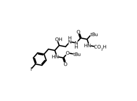 CC(C)(C)OC(=O)NC(Cc1ccc(I)cc1)C(O)CNNC(=O)C(NC(=O)O)C(C)(C)C